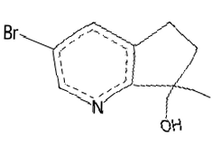 CC1(O)CCc2cc(Br)cnc21